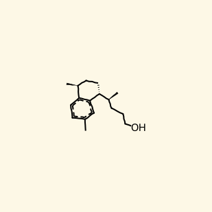 Cc1ccc2c(c1)[C@@H]([C@@H](C)CCCO)CC[C@@H]2C